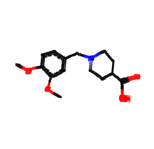 COc1ccc(CN2CCC(C(=O)O)CC2)cc1OC